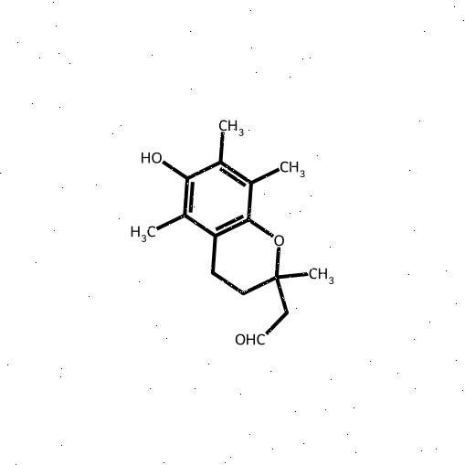 Cc1c(C)c2c(c(C)c1O)CCC(C)(CC=O)O2